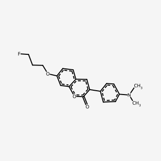 CN(C)c1ccc(-c2cc3ccc(OCCCF)cc3oc2=O)cc1